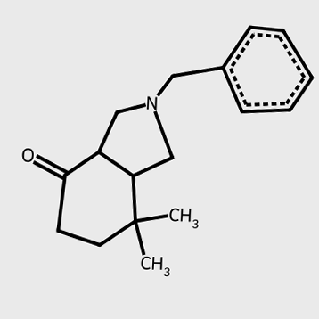 CC1(C)CCC(=O)C2CN(Cc3ccccc3)CC21